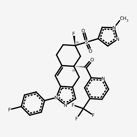 Cn1cc(S(=O)(=O)[C@@]2(F)CCC3=Cc4c(cnn4-c4ccc(F)cc4)C[C@]3(C(=O)c3cc(C(F)(F)F)ccn3)C2)cn1